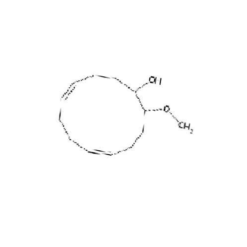 COC1CCC=CCCC=CCCC1O